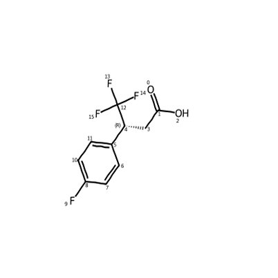 O=C(O)C[C@H](c1ccc(F)cc1)C(F)(F)F